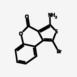 Nc1sc(Br)c2c1c(=O)oc1ccccc12